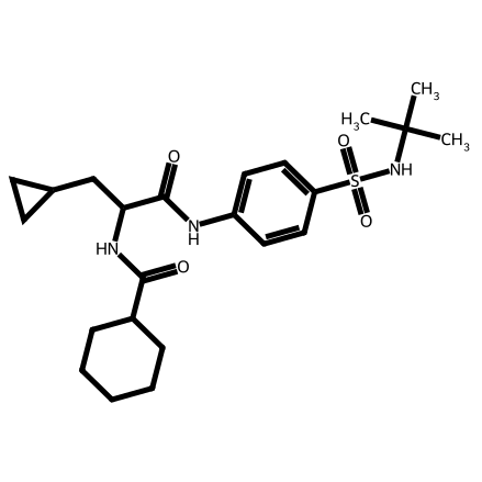 CC(C)(C)NS(=O)(=O)c1ccc(NC(=O)C(CC2CC2)NC(=O)C2CCCCC2)cc1